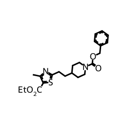 CCOC(=O)c1sc(CCC2CCN(C(=O)OCc3ccccc3)CC2)nc1C